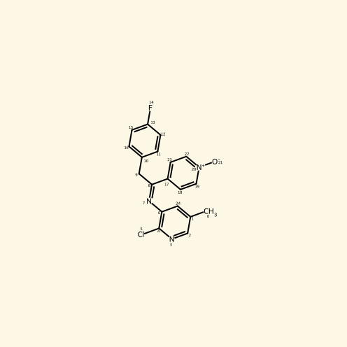 Cc1cnc(Cl)c(N=C(Cc2ccc(F)cc2)c2cc[n+]([O-])cc2)c1